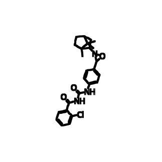 CC1(C)C2CCC1(C)C(N1OC1c1ccc(NC(=O)NC(=O)c3ccccc3Cl)cc1)C2